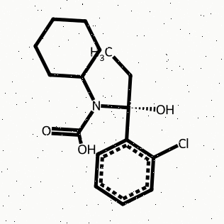 CC[C@@](O)(c1ccccc1Cl)N(C(=O)O)C1CCCCC1